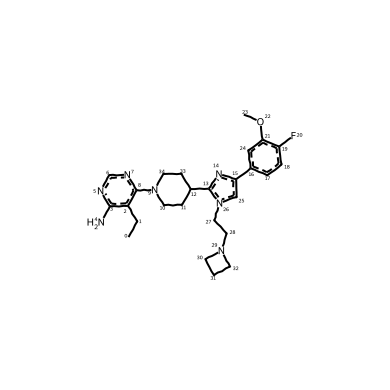 CCc1c(N)ncnc1N1CCC(c2nc(-c3ccc(F)c(OC)c3)cn2CCN2CCC2)CC1